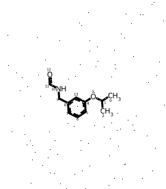 CC(C)Oc1cccc(CNC=O)c1